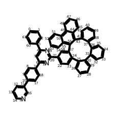 c1ccc(-c2cc(-c3ccc(-c4cccnc4)cc3)nc(-c3ccc4c5ccccc5c5ccccc5c5ccccc5c5c6ccccc6c6ccccc6c5c4c3)n2)cc1